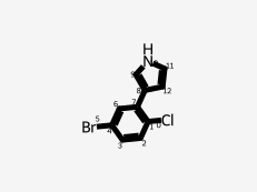 Clc1ccc(Br)cc1-c1[c][nH]cc1